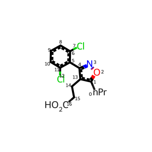 CCCc1onc(-c2c(Cl)cccc2Cl)c1CCC(=O)O